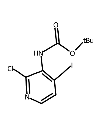 CC(C)(C)OC(=O)Nc1c(I)ccnc1Cl